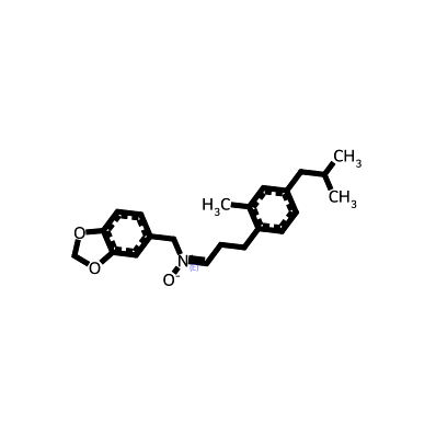 Cc1cc(CC(C)C)ccc1CC/C=[N+](/[O-])Cc1ccc2c(c1)OCO2